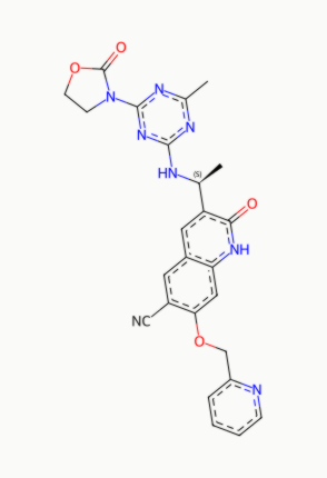 Cc1nc(N[C@@H](C)c2cc3cc(C#N)c(OCc4ccccn4)cc3[nH]c2=O)nc(N2CCOC2=O)n1